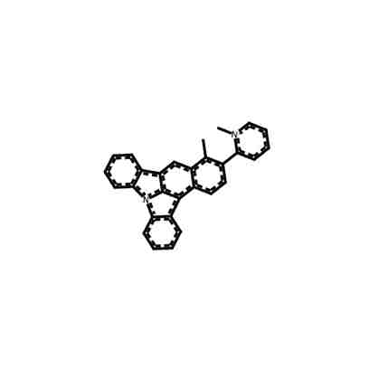 Cc1c(-c2cccc[n+]2C)ccc2c1cc1c3ccccc3n3c4ccccc4c2c13